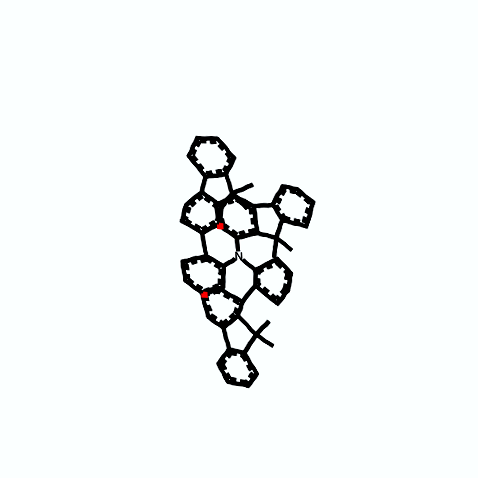 CC1(C)c2ccccc2-c2ccc(-c3ccccc3N(c3ccccc3-c3cccc4c3C(C)(C)c3ccccc3-4)c3cccc4c3C(C)(C)c3ccccc3-4)cc21